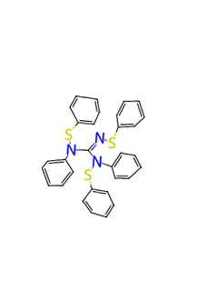 c1ccc(SN=C(N(Sc2ccccc2)c2ccccc2)N(Sc2ccccc2)c2ccccc2)cc1